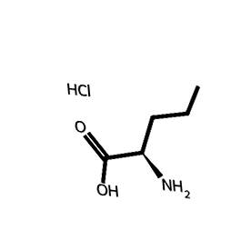 CCC[C@@H](N)C(=O)O.Cl